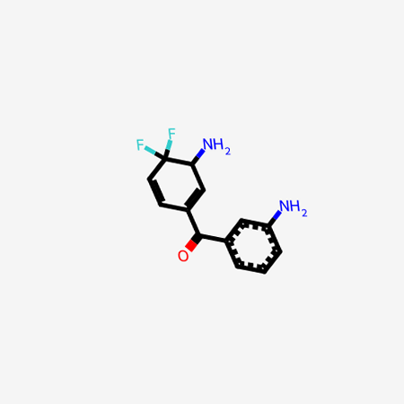 Nc1cccc(C(=O)C2=CC(N)C(F)(F)C=C2)c1